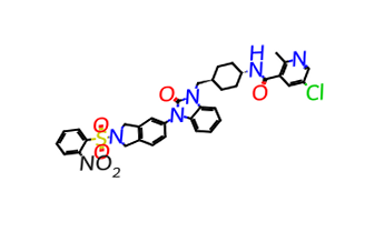 Cc1ncc(Cl)cc1C(=O)N[C@H]1CC[C@H](Cn2c(=O)n(-c3ccc4c(c3)CN(S(=O)(=O)c3ccccc3[N+](=O)[O-])C4)c3ccccc32)CC1